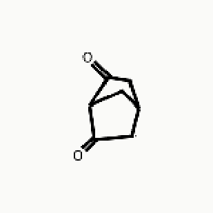 O=C1[CH]C2CC(=O)C1C2